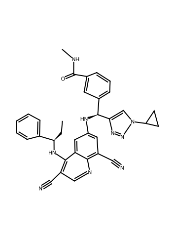 CC[C@@H](Nc1c(C#N)cnc2c(C#N)cc(N[C@@H](c3cccc(C(=O)NC)c3)c3cn(C4CC4)nn3)cc12)c1ccccc1